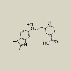 Cc1nc2cc(OCC[C@@H]3CN(C(=O)O)CCN3)ccc2n1C.Cl